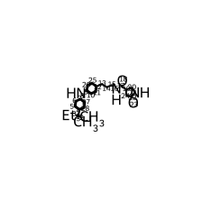 CCC(C)(C)c1ccc(Nc2ccc(CCCNC(=O)C3CNC(=O)C3)cc2)cc1